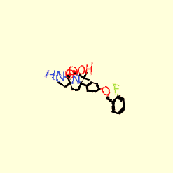 CC(C)(C)[C@@]1(c2ccc(OCc3ccccc3F)cc2)CC[C@]2(CCNC2=O)N1C(=O)O